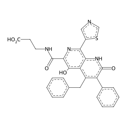 O=C(O)CCNC(=O)c1nc(-c2cncs2)c2[nH]c(=O)c(-c3ccccc3)c(Cc3ccccc3)c2c1O